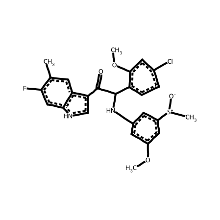 COc1cc(NC(C(=O)c2c[nH]c3cc(F)c(C)cc23)c2ccc(Cl)cc2OC)cc([S+](C)[O-])c1